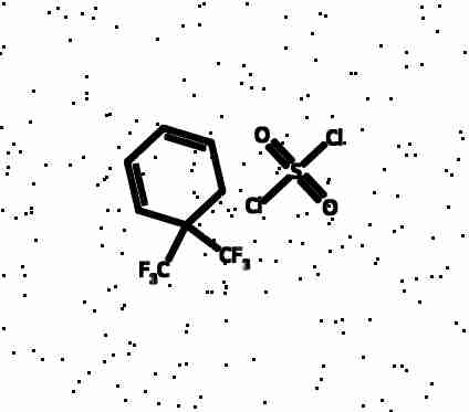 FC(F)(F)C1(C(F)(F)F)C=CC=CC1.O=S(=O)(Cl)Cl